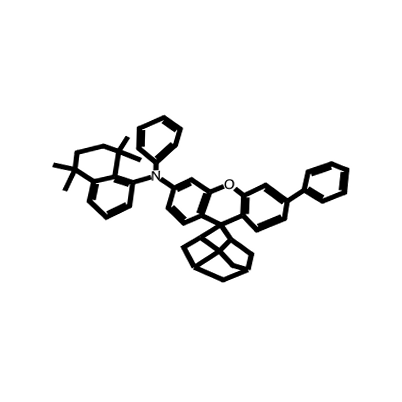 CC1(C)CCC(C)(C)c2c(N(c3ccccc3)c3ccc4c(c3)Oc3cc(-c5ccccc5)ccc3C43C4CC5CC6CC3C64C5)cccc21